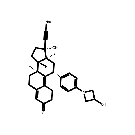 CC(C)(C)C#C[C@]1(O)CC[C@H]2[C@@H]3CCC4=CC(=O)CCC4=C3[C@@H](c3ccc(N4CC(O)C4)cc3)C[C@@]21C